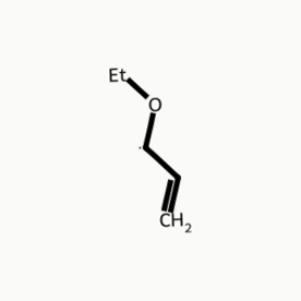 C=C[CH]O[14CH2]C